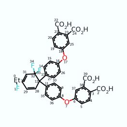 CCF.O=C(O)c1ccc(Oc2ccc(C3(c4ccc(Oc5ccc(C(=O)O)c(C(=O)O)c5)cc4)C=CC=CC3(F)F)cc2)cc1C(=O)O